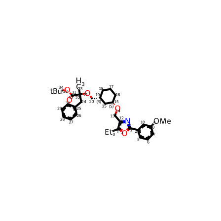 CCc1oc(-c2cccc(OC)c2)nc1CO[C@H]1CCC[C@@H](COC(C)(Cc2ccccc2)C(=O)OC(C)(C)C)C1